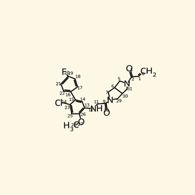 C=CC(=O)N1CC2CN(C(=O)CNc3cc(-c4ccc(F)cc4)c(Cl)cc3OC)CC2C1